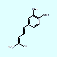 COc1ccc(/C=C/C=C(\C#N)C(=O)O)cc1OC